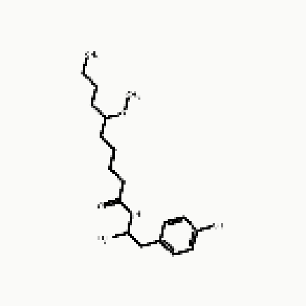 CCCCC(CCCCC(=O)NC(C)Cc1ccc(O)cc1)SC